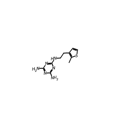 Cc1sccc1CCNc1nc(N)nc(N)n1